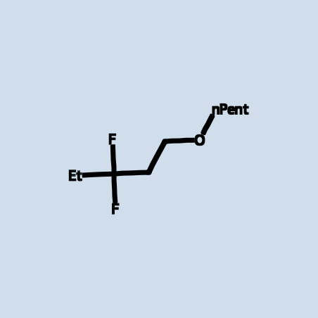 CCCCCOCCC(F)(F)CC